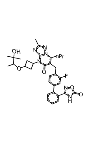 CCCc1c(Cc2ccc(-c3ccccc3-c3noc(=O)[nH]3)cc2F)c(=O)n(C2CC(OC(C)C(C)(C)O)C2)c2nc(C)nn12